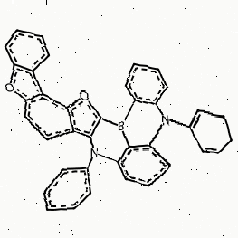 C1=CC(N2c3ccccc3B3c4oc5c(ccc6oc7ccccc7c65)c4N(c4ccccc4)c4cccc2c43)=CCC1